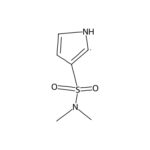 CN(C)S(=O)(=O)c1[c][nH]cc1